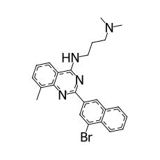 Cc1cccc2c(NCCCN(C)C)nc(-c3cc(Br)c4ccccc4c3)nc12